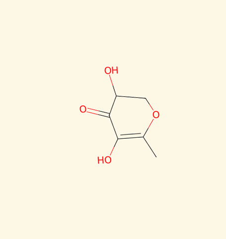 CC1=C(O)C(=O)C(O)CO1